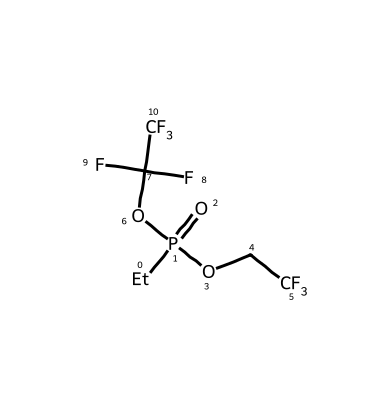 CCP(=O)(OCC(F)(F)F)OC(F)(F)C(F)(F)F